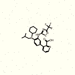 CC(C)CN(c1ccc(-c2cccnc2C(=O)O)cc1Nc1nc(C(F)(F)F)ns1)C1CCCCC1